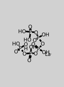 O=P(O)(O)OP(=O)(O)OP(=O)(O)OP(=O)(O)OP(=O)(O)O.[La]